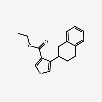 CCOC(=O)c1cscc1C1CCc2ccccc2C1